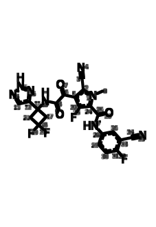 Cn1c(C#N)c(C(=O)C(=O)NC2(c3cn[nH]n3)CC(F)(F)C2)c(F)c1C(=O)Nc1ccc(F)c(C#N)c1